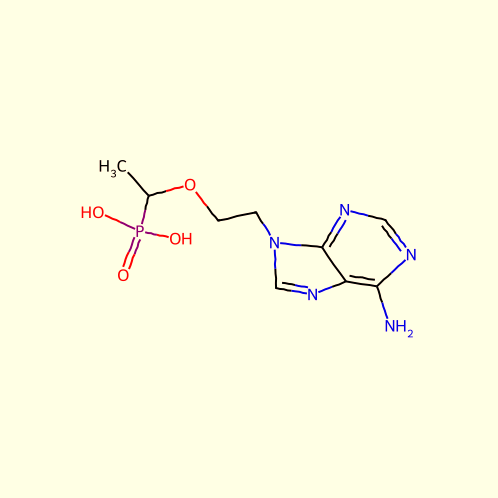 CC(OCCn1cnc2c(N)ncnc21)P(=O)(O)O